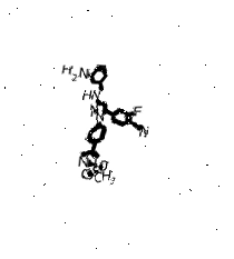 CS(=O)(=O)n1cc(-c2ccc(-n3nc(NCC4CCC[C@H](N)C4)cc3-c3ccc(C#N)c(F)c3)cc2)cn1